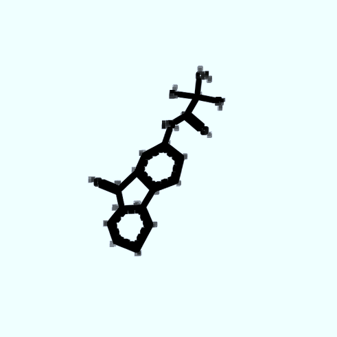 CC(Br)(Br)C(=O)Nc1ccc2c(c1)C(=O)c1ccccc1-2